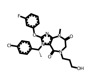 C[C@H](c1ccc(Cl)cc1)n1c(Oc2cccc(F)c2)nc2c1C(=O)N(CCCO)CC(=O)N2C